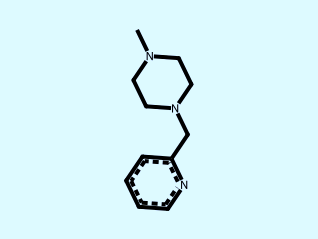 CN1CCN(Cc2ccccn2)CC1